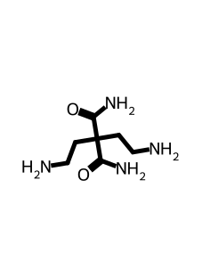 NCCC(CCN)(C(N)=O)C(N)=O